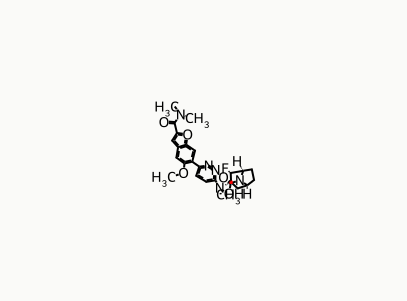 COc1cc2cc(C(=O)N(C)C)oc2cc1-c1ccc(N(C)[C@H]2C[C@@H]3CC[C@H]([C@H]2F)N3C(=O)O)nn1